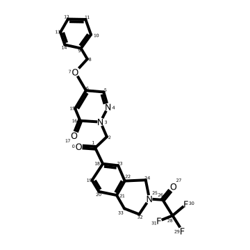 O=C(Cn1ncc(OCc2ccccc2)cc1=O)c1ccc2c(c1)CN(C(=O)C(F)(F)F)CC2